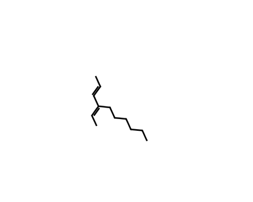 C/C=C/C(=C/C)CCCCCC